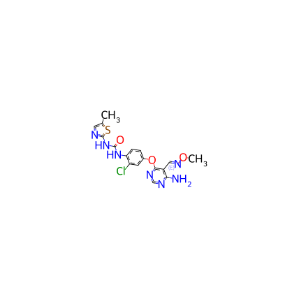 CO/N=C/c1c(N)ncnc1Oc1ccc(NC(=O)Nc2ncc(C)s2)c(Cl)c1